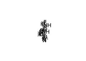 CO[C@@H](Cc1c[nH]c2c(F)cccc12)C(=O)N[C@@H](CCC(=O)C=[N+]=[N-])C(=O)OC(C)C